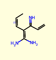 C=CC(=N)C(/C=C\C)=C(N)N